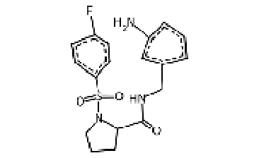 Nc1cccc(CNC(=O)C2CCCN2S(=O)(=O)c2ccc(F)cc2)c1